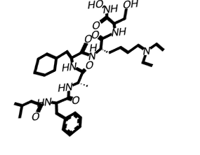 CCN(CC)CCCC[C@H](NC(=O)C(CC1CCCCC1)NC(=O)[C@H](C)NC(=O)C(Cc1ccccc1)NC(=O)CC(C)C)C(=O)NC(CO)C(=O)NO